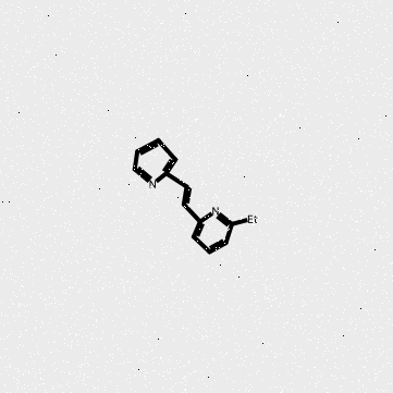 CCc1cccc(C=Cc2ccccn2)n1